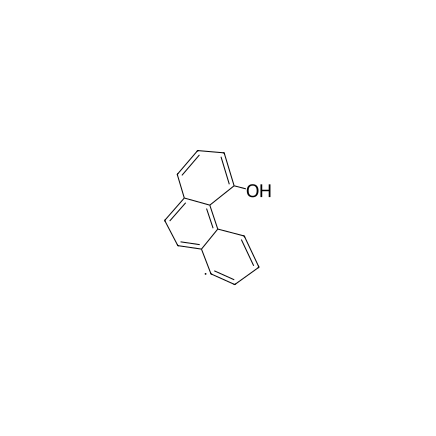 Oc1cccc2ccc3[c]cccc3c12